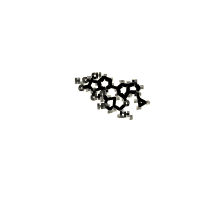 C[C@@H](Oc1cc(-c2ccc3c(n2)N(C)C(=O)C3(C)C)cc2ncn(C3CC3)c12)[C@H]1CNC(=O)C1